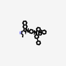 C=C/C=C\c1c(C)n(-c2ccc(N(c3ccc(-c4ccccc4)cc3)c3cccc4c3oc3ccccc34)cc2)c2cc3ccccc3cc12